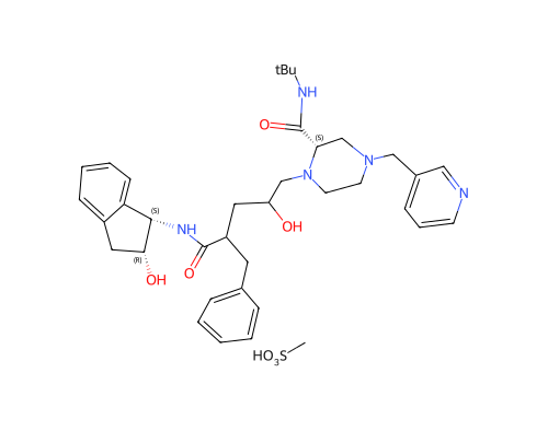 CC(C)(C)NC(=O)[C@@H]1CN(Cc2cccnc2)CCN1CC(O)CC(Cc1ccccc1)C(=O)N[C@H]1c2ccccc2C[C@H]1O.CS(=O)(=O)O